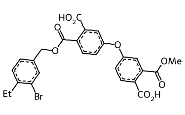 CCc1ccc(COC(=O)c2ccc(Oc3ccc(C(=O)O)c(C(=O)OC)c3)cc2C(=O)O)cc1Br